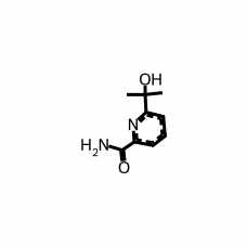 CC(C)(O)c1cccc(C(N)=O)n1